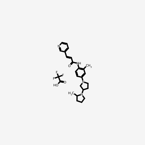 Cc1cc(N2CCC(N3CCCC3C)C2)ccc1NC(=O)/C=C/c1cccnc1.O=C(O)C(F)(F)F